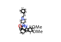 COc1ccc(C2=NN(C3CCN(CCc4ccccc4)CC3)C(=O)[C@@H]3CC=CC[C@H]23)cc1OC